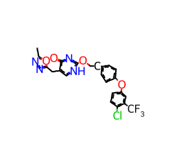 Cc1nnc(Cc2c[nH]c(OCCc3ccc(Oc4ccc(Cl)c(C(F)(F)F)c4)cc3)nc2=O)o1